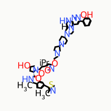 Cc1ncsc1-c1ccc([C@H](C)NC(=O)[C@@H]2C[C@@H](O)CN2C(=O)[C@@H](c2cc(OCCN3CC[C@@H](N4CCC(N5CCN6c7cc(-c8ccccc8O)nnc7NC[C@@H]6C5)CC4)C3)no2)C(C)C)cc1